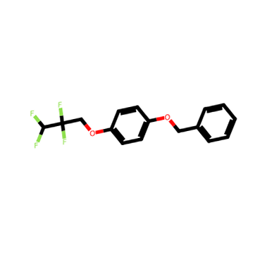 FC(F)C(F)(F)COc1ccc(OCc2ccccc2)cc1